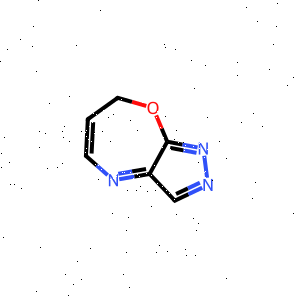 C1=CN=C2C=NN=C2OC1